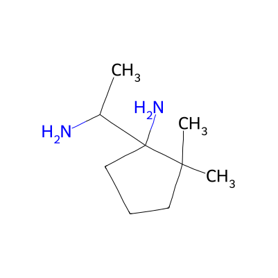 CC(N)C1(N)CCCC1(C)C